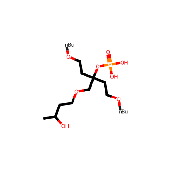 CCCCOCCC(CCOCCCC)(COCCC(C)O)OP(=O)(O)O